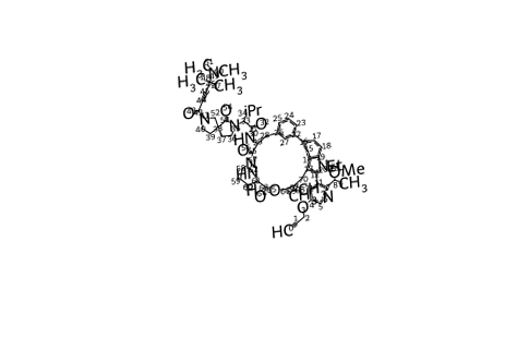 C#CCOc1cnc([C@H](C)OC)c(-c2c3c4cc(ccc4n2CC)-c2cccc(c2)C[C@H](NC(=O)[C@H](C(C)C)N2CC[C@]4(CCN(C(=O)C#CC(C)(C)N(C)C)C4)C2=O)C(=O)N2CCC[C@H](N2)C(=O)OCC(C)(C)C3)c1